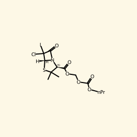 CCCOC(=O)OCOC(=O)[C@@H]1N2C(=O)C(Cl)(I)[C@H]2SC1(C)C